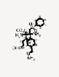 NN=Cc1ccc(C(N)(CS(=O)(=O)c2ccccc2)C(N)(C(=O)O)C(=O)CCC=O)cc1